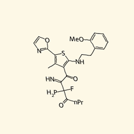 CCCC(=O)C(F)(P)C(=N)C(=O)c1c(NCCc2ccccc2OC)sc(-c2ncco2)c1C